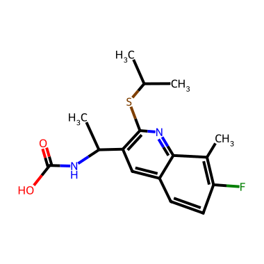 Cc1c(F)ccc2cc(C(C)NC(=O)O)c(SC(C)C)nc12